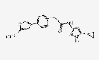 O=Cc1cc(-c2ccc(CC(=O)Nc3cc(C4CC4)[nH]n3)cc2)cs1